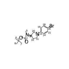 CN(C(=O)OC(C)(C)C)[C@@H]1CCN(c2ccc(Br)cc2)C1